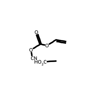 C=COC(=O)OC#N.CC(=O)O